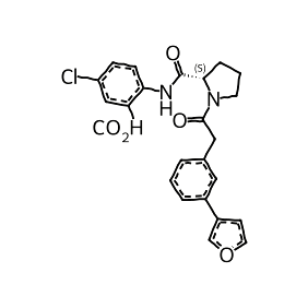 O=C(O)c1cc(Cl)ccc1NC(=O)[C@@H]1CCCN1C(=O)Cc1cccc(-c2ccoc2)c1